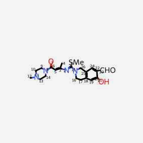 CS/C(=N\C(C)=C\C(=O)N1CCN(C)CC1)N1CCc2cc(O)c(C=O)cc2C1